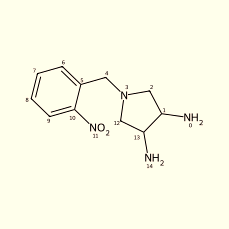 NC1CN(Cc2ccccc2[N+](=O)[O-])CC1N